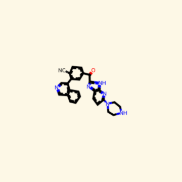 N#Cc1ccc(C(=O)c2nc3ccc(N4CCNCC4)nc3[nH]2)cc1-c1cncc2ccccc12